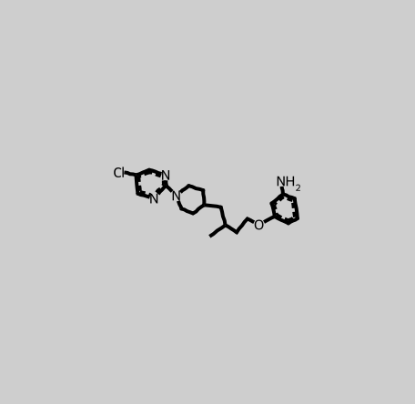 CC(CCOc1cccc(N)c1)CC1CCN(c2ncc(Cl)cn2)CC1